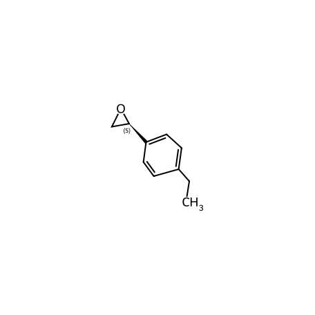 CCc1ccc([C@H]2CO2)cc1